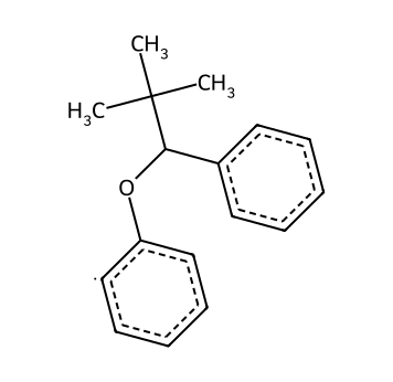 CC(C)(C)C(Oc1[c]cccc1)c1ccccc1